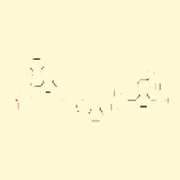 O=C(CCCc1ccc(-c2ccccc2)c(N(C(=O)O)C23CCN(CC2)CC3)c1)Nc1ccc(CNC[C@@H](O)c2ccc(O)c3[nH]c(=O)ccc23)cc1